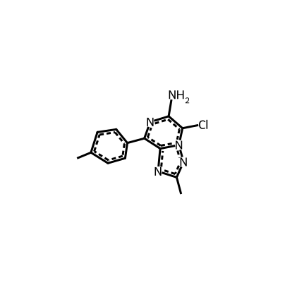 Cc1ccc(-c2nc(N)c(Cl)n3nc(C)nc23)cc1